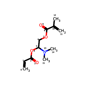 C=CC(=O)OC(COC(=O)C(=C)C)N(C)C